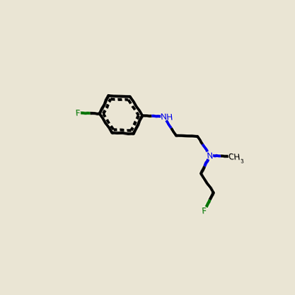 CN(CCF)CCNc1ccc(F)cc1